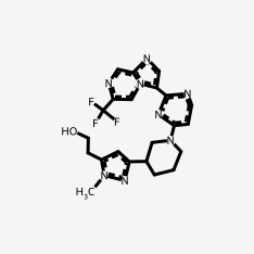 Cn1nc(C2CCCN(c3ccnc(-c4cnc5cnc(C(F)(F)F)cn45)n3)C2)cc1CCO